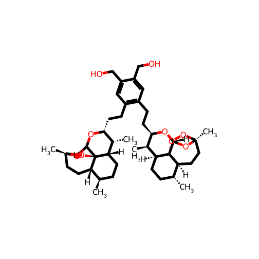 C[C@H]1[C@@H](CCc2cc(CO)c(CO)cc2CC[C@H]2O[C@@H]3O[C@]4(C)CC[C@H]5[C@H](C)CC[C@@H]([C@H]2C)[C@@]35OO4)O[C@@H]2O[C@]3(C)CC[C@H]4[C@H](C)CC[C@@H]1[C@@]24OO3